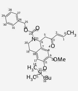 C/C=C/C(=O)CC1c2cc(OC)c(O[Si](C)(C)C(C)(C)C)cc2CCN1C(=O)OCc1ccccc1